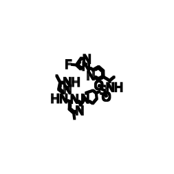 Cc1cc(Nc2cc(C)[nH]n2)nc(N2CCC(S(=O)(=O)NC(C)c3ccc(-n4cc(F)cn4)nc3)CC2)n1